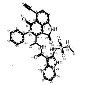 C#Cc1ccc2c3c(c(C(C)NC(=O)c4c(NS(=O)(=O)NC)nn5cccnc45)n(-c4ccccc4)c(=O)c13)C(=O)N2